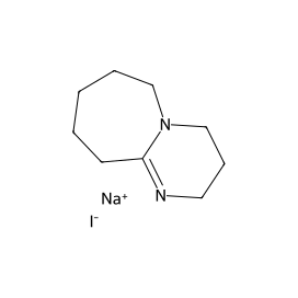 C1CCC2=NCCCN2CC1.[I-].[Na+]